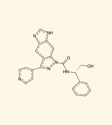 O=C(N[C@H](CO)c1ccccc1)n1nc(-c2ccncc2)c2cc3nc[nH]c3cc21